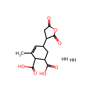 CC1=CC(C2CC(=O)OC2=O)CC(C(=O)O)C1C(=O)O.[HH].[HH]